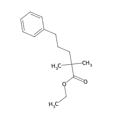 CCOC(=O)C(C)(C)CCCc1ccccc1